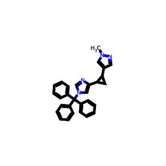 Cn1cc(C2CC2c2cn(C(c3ccccc3)(c3ccccc3)c3ccccc3)cn2)cn1